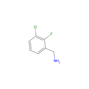 NCc1c[c]cc(Cl)c1F